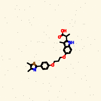 Cc1nc(-c2ccc(OCCCOc3ccc4[nH]c(C(C)C(=O)O)c(C)c4c3)cc2)sc1C